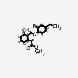 CCc1ccc(OCc2c(C)cccc2CC(=O)OC)c(F)c1